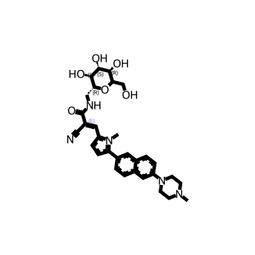 CN1CCN(c2ccc3cc(-c4ccc(/C=C(\C#N)C(=O)NC[C@H]5OC(CO)[C@H](O)[C@@H](O)[C@@H]5O)n4C)ccc3c2)CC1